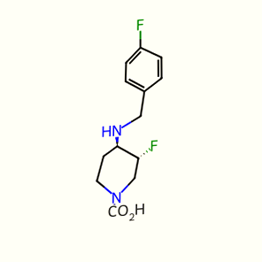 O=C(O)N1CC[C@@H](NCc2ccc(F)cc2)[C@H](F)C1